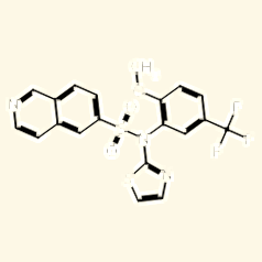 COc1ccc(C(F)(F)F)cc1N(c1nccs1)S(=O)(=O)c1ccc2cnccc2c1